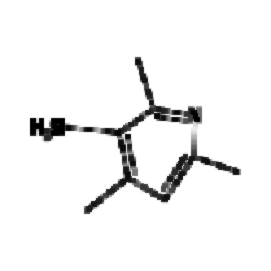 Cc1cc(C)c([SiH3])c(C)n1